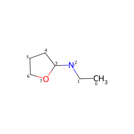 CC[N]C1CCCO1